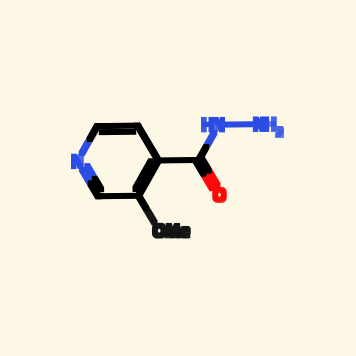 COc1cnccc1C(=O)NN